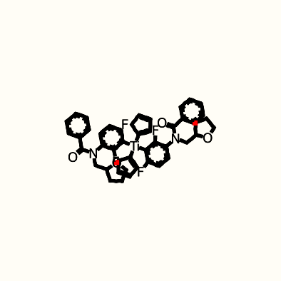 O=C(c1ccccc1)N(CC1CCCO1)c1ccc(F)[c]([Ti]([C]2=CC=CC2)([C]2=CC=CC2)[c]2c(F)ccc(N(CC3CCCO3)C(=O)c3ccccc3)c2F)c1F